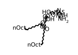 CCCCCCCC/C=C\CCCCCCCC(=O)OC[C@H](COP(=O)(O)OC[C@H]1O[C@@H](n2cnc3c(=S)[nH]c(N)nc32)C[C@@H]1O)OC(=O)CCCCCCC/C=C\CCCCCCCC